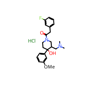 COc1cccc(C2(O)CCN(C(=O)Cc3cccc(F)c3)CC2CN(C)C)c1.Cl